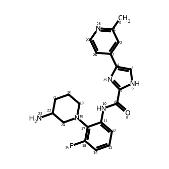 Cc1cc(-c2c[nH]c(C(=O)Nc3cccc(F)c3N3CCCC(N)C3)n2)ccn1